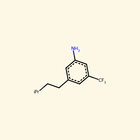 CC(C)CCc1cc(N)cc(C(F)(F)F)c1